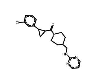 O=C(C1CC1c1cccc(Cl)c1)N1CCC(CNc2ncccn2)CC1